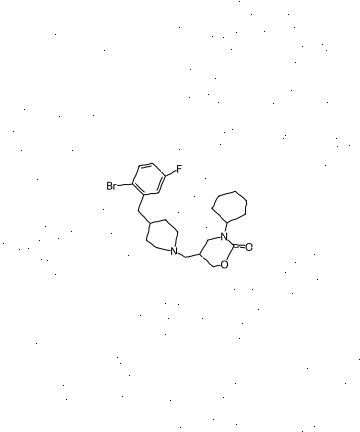 O=C1OCC(CN2CCC(Cc3cc(F)ccc3Br)CC2)CN1C1CCCCC1